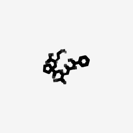 CCC[C@H](CC1(C(=O)N[C@@H](CC(=O)NC(=N)c2ccccc2)C(=O)O)CCCC1)C(=O)O